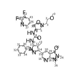 COCCN1C[C@@H](NC(=O)Nc2c(C)c(-c3cnc4c(c3)c(=O)n(C)n4C)nn2-c2ccccc2)[C@H](c2cnc(F)c(F)c2)O1